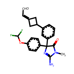 CN1C(=O)C(c2ccc(OC(F)F)cc2)(c2cccc(C3CC(=CC=O)C3)c2)N=C1N